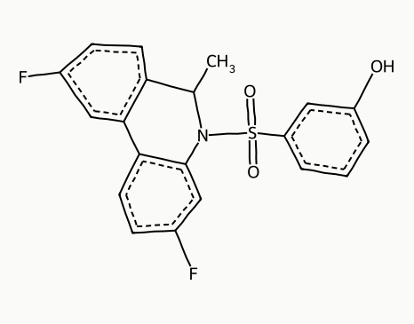 CC1c2ccc(F)cc2-c2ccc(F)cc2N1S(=O)(=O)c1cccc(O)c1